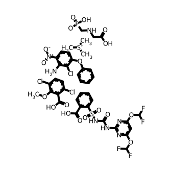 COc1c(Cl)ccc(Cl)c1C(=O)O.C[S+](C)C.Nc1c([N+](=O)[O-])ccc(Oc2ccccc2)c1Cl.O=C(Nc1nc(OC(F)F)cc(OC(F)F)n1)NS(=O)(=O)c1ccccc1C(=O)O.O=C(O)CNCP(=O)([O-])O